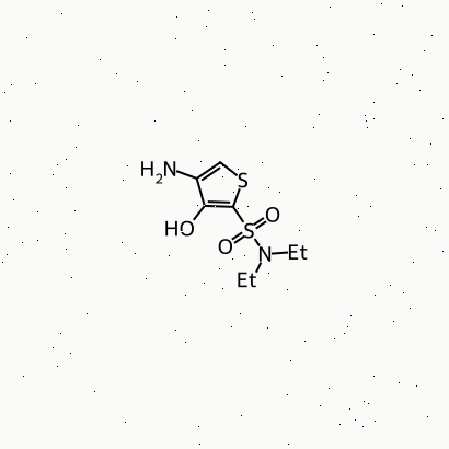 CCN(CC)S(=O)(=O)c1scc(N)c1O